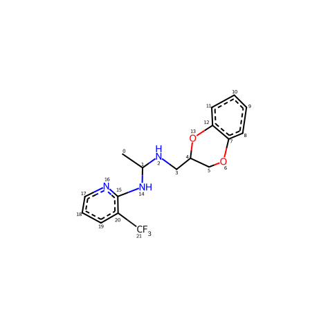 CC(NCC1COc2ccccc2O1)Nc1ncccc1C(F)(F)F